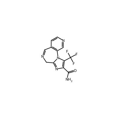 NC(=O)c1nc2n(c1C(F)(F)F)-c1cnccc1C=NC2